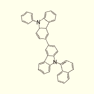 C1=CC2C(C=C1c1ccc3c(c1)c1ccccc1n3-c1cccc3ccccc13)c1ccccc1N2c1ccccc1